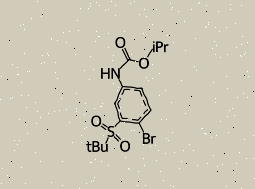 CC(C)OC(=O)Nc1ccc(Br)c(S(=O)(=O)C(C)(C)C)c1